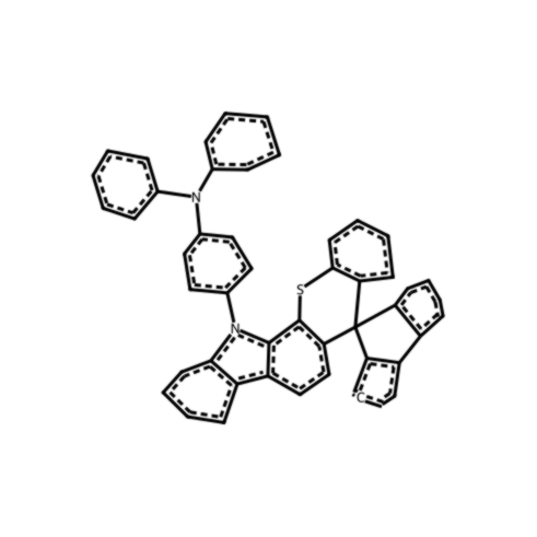 c1ccc(N(c2ccccc2)c2ccc(-n3c4ccccc4c4ccc5c(c43)Sc3ccccc3C53c4ccccc4-c4ccccc43)cc2)cc1